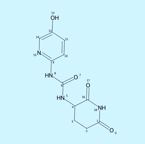 O=C1CCC(NC(=O)Nc2ccc(O)cn2)C(=O)N1